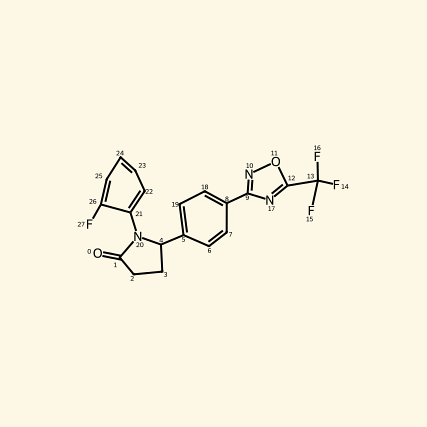 O=C1CCC(c2ccc(-c3noc(C(F)(F)F)n3)cc2)N1c1ccccc1F